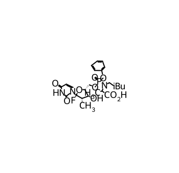 CCC(C)CN(C(C)C(=O)O)[P@@](=O)(OC[C@H]1O[C@@](F)(n2ccc(=O)[nH]c2=O)[C@@H](C)[C@@H]1O)Oc1ccccc1